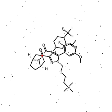 CCN1CC(NC(=O)[C@@H]2C[C@H]3CC[C@@H](C2)N3C(=O)c2cc(-c3cc(OC)ncc3F)n(COCC[Si](C)(C)C)n2)CCC1C(F)(F)F